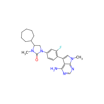 CN1C(=O)N(c2ccc(-c3cn(C)c4ncnc(N)c34)c(F)c2)CC1C1CCCCCC1